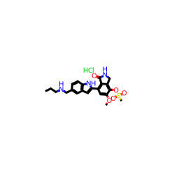 CCCNCc1ccc2[nH]c(-c3cc(OC)c(OS(C)(=O)=O)c4c3C(=O)NC4)cc2c1.Cl